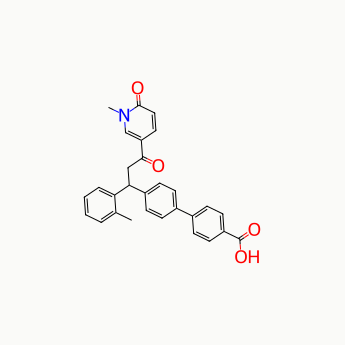 Cc1ccccc1C(CC(=O)c1ccc(=O)n(C)c1)c1ccc(-c2ccc(C(=O)O)cc2)cc1